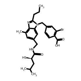 CCCc1nc2c(C)cc(CNC(=O)[C@H](S)CC(C)C)cc2n1Cc1ccc(C(=O)O)c(Br)c1